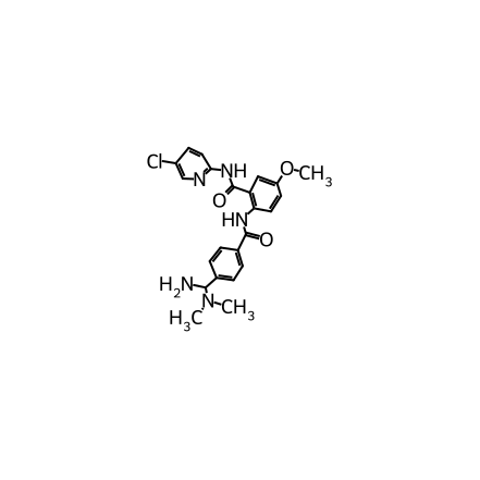 COc1ccc(NC(=O)c2ccc(C(N)N(C)C)cc2)c(C(=O)Nc2ccc(Cl)cn2)c1